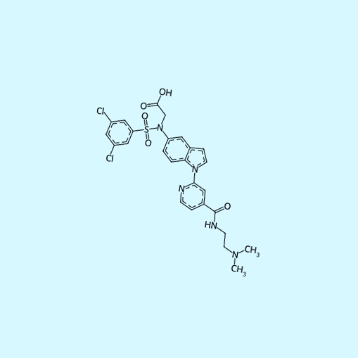 CN(C)CCNC(=O)c1ccnc(-n2ccc3cc(N(CC(=O)O)S(=O)(=O)c4cc(Cl)cc(Cl)c4)ccc32)c1